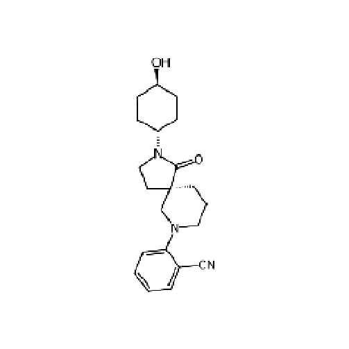 N#Cc1ccccc1N1CCC[C@@]2(CCN([C@H]3CC[C@H](O)CC3)C2=O)C1